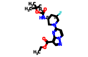 CCOC(=O)c1cnn2ccc(N3C[C@H](F)C[C@@H](NC(=O)OC(C)(C)C)C3)nc12